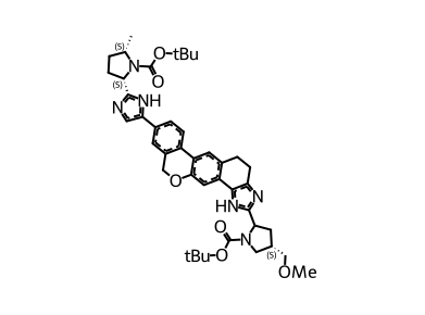 COC[C@H]1CC(c2nc3c([nH]2)-c2cc4c(cc2CC3)-c2ccc(-c3cnc([C@@H]5CC[C@H](C)N5C(=O)OC(C)(C)C)[nH]3)cc2CO4)N(C(=O)OC(C)(C)C)C1